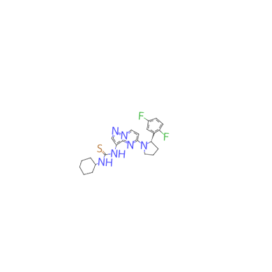 Fc1ccc(F)c([C@H]2CCCN2c2ccn3ncc(NC(=S)NC4CCCCC4)c3n2)c1